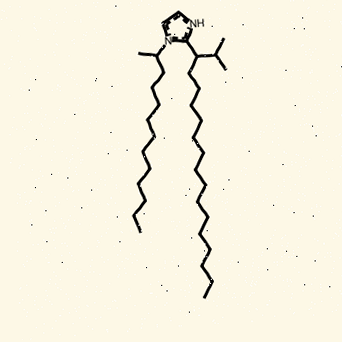 CCCCCCCCCCCCCCCC(c1[nH]cc[n+]1C(C)CCCCCCCCCCC)C(C)C